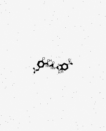 CN(C)C[C@H]1C=C[C@@H](Cl)C([C@@H](O)NC(=O)N[C@H]2N[C@H]3CC[C@@H]([S+](C)[O-])CC3S2)C1